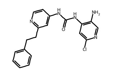 Nc1cnc(Cl)cc1NC(=O)Nc1ccnc(CCc2ccccc2)c1